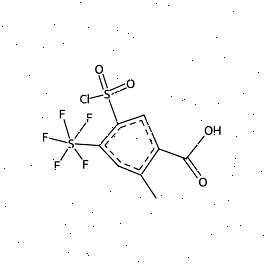 Cc1cc(S(F)(F)(F)(F)F)c(S(=O)(=O)Cl)cc1C(=O)O